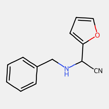 N#CC(NCc1ccccc1)c1ccco1